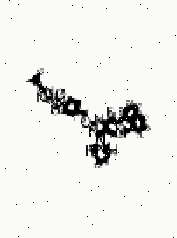 O=S(=O)(c1ccc(COc2nc(N3C[C@H]4CC[C@@H](C3)N4)c3cnc(-c4cccc5cccc(Cl)c45)c(F)c3n2)cc1)n1cnc(C2CC2)n1